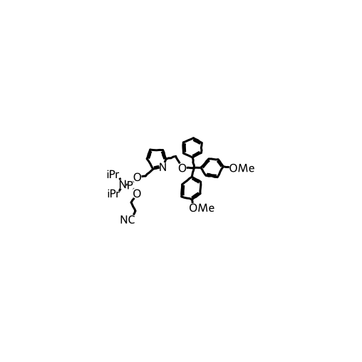 COc1ccc(C(OCc2cccc(COP(OCCC#N)N(C(C)C)C(C)C)n2)(c2ccccc2)c2ccc(OC)cc2)cc1